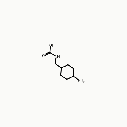 NC1CCC(CNC(=O)O)CC1